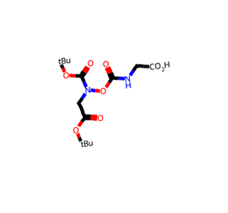 CC(C)(C)OC(=O)CN(OC(=O)NCC(=O)O)C(=O)OC(C)(C)C